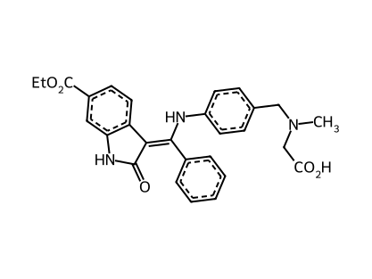 CCOC(=O)c1ccc2c(c1)NC(=O)C2=C(Nc1ccc(CN(C)CC(=O)O)cc1)c1ccccc1